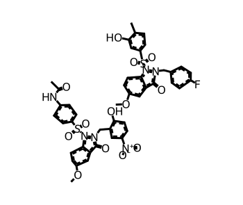 COc1ccc2c(c1)c(=O)n(Cc1cc([N+](=O)[O-])ccc1O)n2S(=O)(=O)c1ccc(NC(C)=O)cc1.COc1ccc2c(c1)c(=O)n(Cc1ccc(F)cc1)n2S(=O)(=O)c1ccc(C)c(O)c1